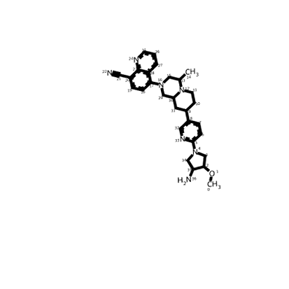 COC1CN(c2ccc(C3CCN4C(C)CN(c5ccc(C#N)c6ncccc56)CC4C3)cn2)CC1N